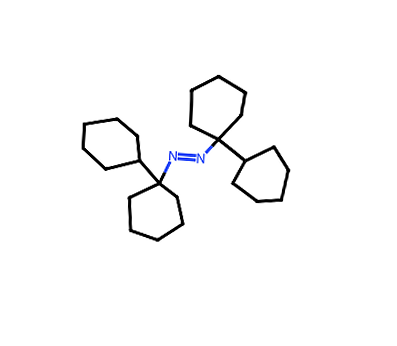 C1CCC(C2(N=NC3(C4CCCCC4)CCCCC3)CCCCC2)CC1